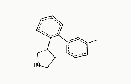 Cc1cccc(-c2ccccc2C2CCNC2)c1